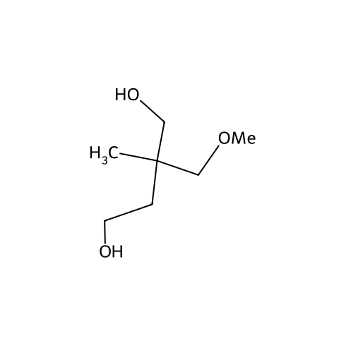 COCC(C)(CO)CCO